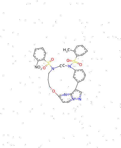 Cc1ccccc1S(=O)(=O)N1CCN(S(=O)(=O)c2ccccc2[N+](=O)[O-])CCCOc2ccn3ncc(c3n2)-c2cccc1c2